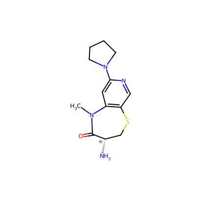 CN1C(=O)[C@@H](N)CSc2cnc(N3CCCC3)cc21